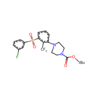 CC(C)(C)OC(=O)N1CCN(c2cccc(S(=O)(=O)c3cccc(F)c3)c2C(F)(F)F)CC1